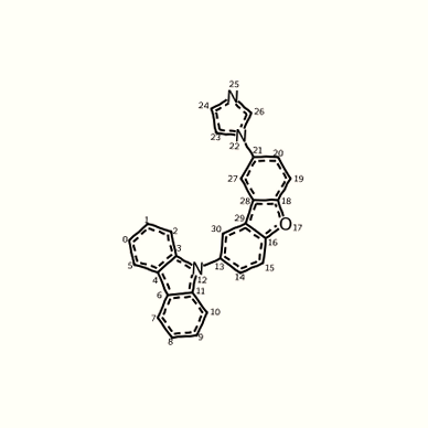 c1ccc2c(c1)c1ccccc1n2-c1ccc2oc3ccc(-n4ccnc4)cc3c2c1